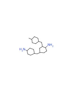 CC1CCC(CC2CC(CC3CCC(N)CC3)CCC2N)CC1